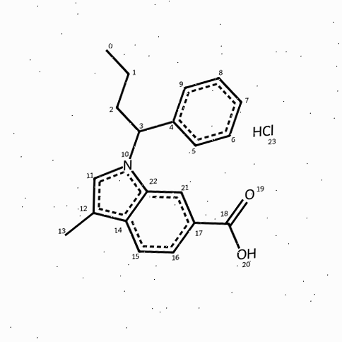 CCCC(c1ccccc1)n1cc(C)c2ccc(C(=O)O)cc21.Cl